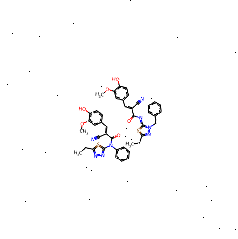 CCc1nn(Cc2ccccc2)/c(=N/C(=O)/C(C#N)=C/c2ccc(O)c(OC)c2)s1.CCc1nnc(N(C(=O)/C(C#N)=C/c2ccc(O)c(OC)c2)c2ccccc2)s1